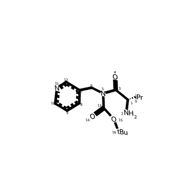 CC(C)[C@H](N)C(=O)N(Cc1cccnc1)C(=O)OC(C)(C)C